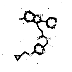 C[C@@H](NC(=O)CCc1c(-c2ccccc2)[nH]c2ccc(F)cc12)c1ccc(OCC2CC2)cn1